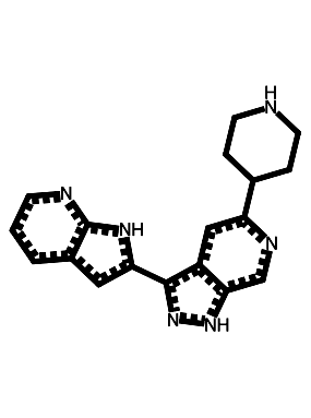 c1cnc2[nH]c(-c3n[nH]c4cnc(C5CCNCC5)cc34)cc2c1